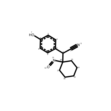 N#CC(c1ccc(O)cc1)C1(N=O)CCCCC1